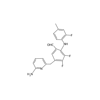 Cc1ccc(Nc2c(C=O)cc(Cc3cccc(N)n3)c(F)c2F)c(F)c1